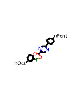 CCCCCCCCc1ccc(OC(=O)c2cnc(-c3ccc(CCCCC)cc3)cn2)c(F)c1